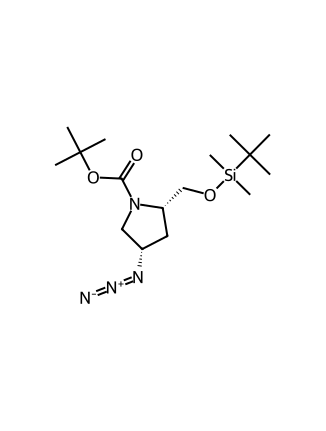 CC(C)(C)OC(=O)N1C[C@@H](N=[N+]=[N-])C[C@H]1CO[Si](C)(C)C(C)(C)C